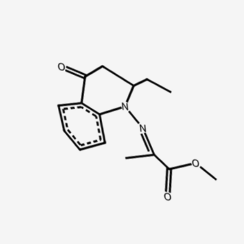 CCC1CC(=O)c2ccccc2N1/N=C(\C)C(=O)OC